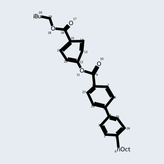 CCCCCCCCc1ccc(-c2ccc(C(=O)Oc3ccc(C(=O)OCC(C)CC)cc3)cc2)cc1